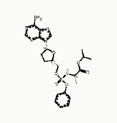 CC(C)OC(=O)[C@H](C)NP(=O)(OC[C@@H]1CC[C@H](n2cnc3c(N)ncnc32)O1)Oc1ccccc1